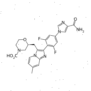 Cc1ccn2c(C[C@H]3CN(C(=O)O)CCO3)c(-c3c(F)cc(-n4cnc(C(N)=O)c4)cc3F)nc2c1